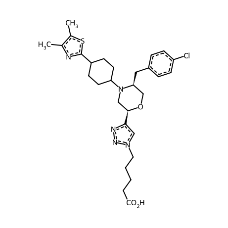 Cc1nc(C2CCC(N3C[C@H](c4cn(CCCCC(=O)O)nn4)OC[C@@H]3Cc3ccc(Cl)cc3)CC2)sc1C